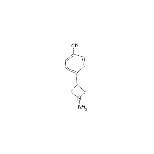 N#Cc1ccc(C2CN(N)C2)cc1